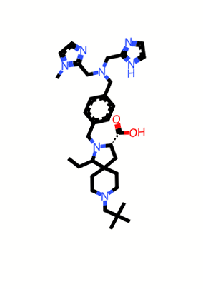 CCC1N(Cc2ccc(CN(Cc3ncc[nH]3)Cc3nccn3C)cc2)[C@H](C(=O)O)CC12CCN(CC(C)(C)C)CC2